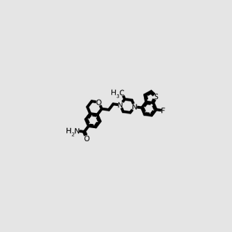 CC1CN(c2ccc(F)c3sccc23)CCN1CCC1OCCc2cc(C(N)=O)ccc21